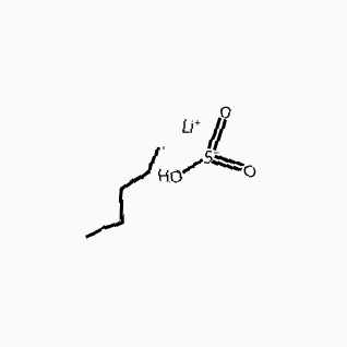 O=[S-](=O)O.[CH2]CCCC.[Li+]